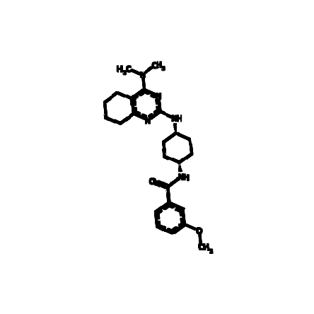 COc1cccc(C(=O)N[C@H]2CC[C@@H](Nc3nc4c(c(N(C)C)n3)CCCC4)CC2)c1